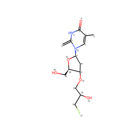 C=C1NC(=O)C(C)=CN1[C@H]1CC(OCC(O)CF)[C@@H](CO)O1